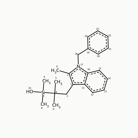 Cc1c(CC(C)(C)[Si](C)(C)O)c2ccccc2n1Cc1ccccc1